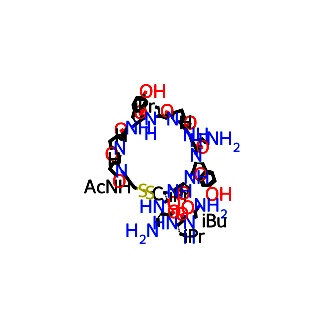 CC[C@H](C)[C@H](NC(=O)[C@H](CC(C)C)NC(=O)[C@H](CCN)NC(=O)[C@@H]1CSSC[C@H](NC(C)=O)C(=O)N2CCC[C@H]2C(=O)N2CCC[C@H]2C(=O)N[C@@H](Cc2ccc(O)cc2)C(=O)N[C@@H](CC(C)C)C(=O)N2CCC[C@H]2C(=O)N[C@H](CCN)C(=O)N[C@@H](Cc2ccc(O)cc2)C(=O)N[C@@H](CC(C)C)C(=O)N1)C(N)=O